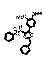 COc1ccc(-c2oc(Cc3ccccc3)nc2NS(=O)(=O)c2ccccc2)cc1OC